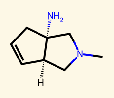 CN1C[C@H]2C=CC[C@@]2(N)C1